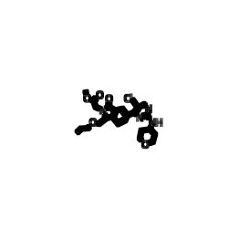 CCCOCC1c2ccc(-c3nc(NC4CCOCC4)ncc3Cl)cc2C(=O)N1CC(=O)OC